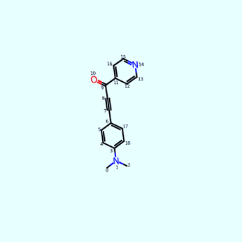 CN(C)c1ccc(C#CC(=O)c2ccncc2)cc1